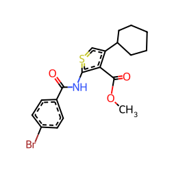 COC(=O)c1c(C2CCCCC2)csc1NC(=O)c1ccc(Br)cc1